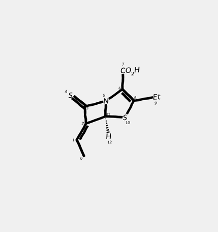 C/C=C1/C(=S)N2C(C(=O)O)=C(CC)S[C@@H]12